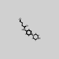 O=CCCC(=O)Nc1ccc(N2CCNCC2)cc1